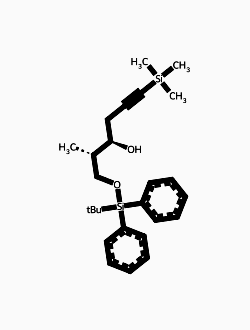 C[C@@H](CO[Si](c1ccccc1)(c1ccccc1)C(C)(C)C)[C@H](O)CC#C[Si](C)(C)C